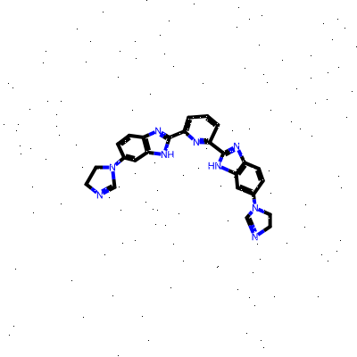 C1=NCCN1c1ccc2nc(-c3cccc(-c4nc5ccc(N6C=NCC6)cc5[nH]4)n3)[nH]c2c1